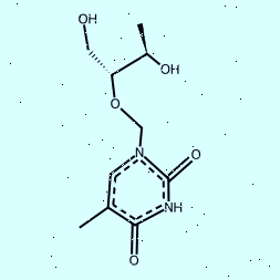 Cc1cn(CO[C@H](CO)[C@@H](C)O)c(=O)[nH]c1=O